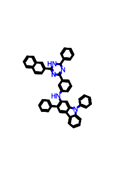 c1ccc(-c2cc3c4ccccc4n(-c4ccccc4)c3cc2Nc2cccc(C3=NC(c4ccccc4)NC(c4ccc5ccccc5c4)=N3)c2)cc1